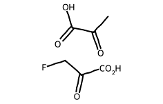 CC(=O)C(=O)O.O=C(O)C(=O)CF